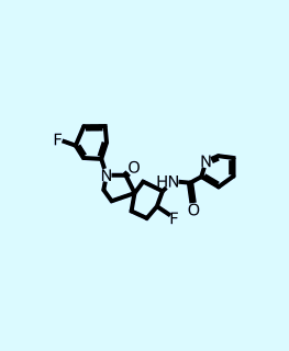 O=C(NC1CC2(CCC1F)CCN(c1cccc(F)c1)C2=O)c1ccccn1